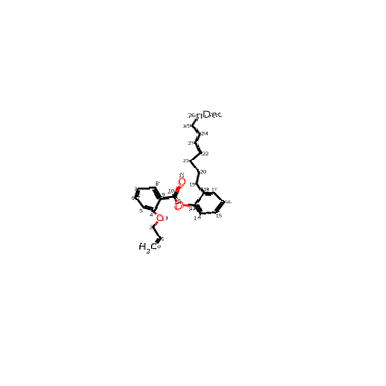 C=CCOc1ccccc1C(=O)Oc1ccccc1CCCCCCCCCCCCCCCCC